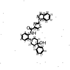 O=C(Nc1ccccc1N1CCC(O)(c2ccccc2)CC1)c1csc(-n2ncc3ccccc32)n1